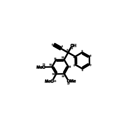 C#CC(O)(c1ccccc1)c1cc(OC)c(OC)c(OC)c1